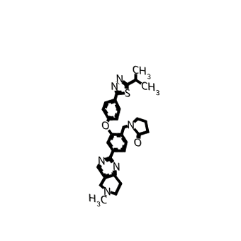 CC(C)c1nnc(-c2ccc(Oc3cc(-c4ncc5c(n4)CCN(C)C5)ccc3CN3CCCC3=O)cc2)s1